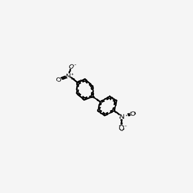 O=[N+]([O-])c1ccc(-c2ccc([N+](=O)[O-])cc2)cc1